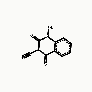 BN1C(=O)C(C#N)C(=O)c2ccccc21